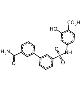 NC(=O)c1cccc(-c2cccc(S(=O)(=O)Nc3ccc(C(=O)O)c(O)c3)c2)c1